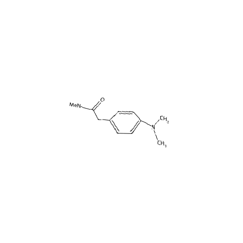 CNC(=O)Cc1ccc(N(C)C)cc1